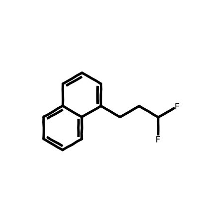 FC(F)CCc1cccc2ccccc12